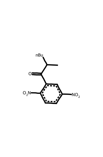 CCCCC(C)C(=O)c1cc([N+](=O)[O-])ccc1[N+](=O)[O-]